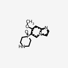 COc1cc2nccn2cc1P1(=O)CCNCC1